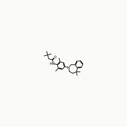 Cc1cc(N2CCC(C)(C)c3ccccc3C2)cc(C)c1NC(=O)CC(C)(C)C